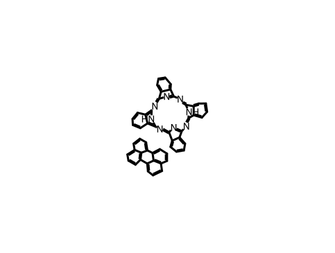 c1cc2cccc3c4cccc5cccc(c(c1)c23)c54.c1ccc2c(c1)-c1nc-2nc2[nH]c(nc3nc(nc4[nH]c(n1)c1ccccc41)-c1ccccc1-3)c1ccccc21